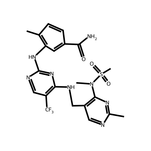 Cc1ncc(CNc2nc(Nc3cc(C(N)=O)ccc3C)ncc2C(F)(F)F)c(N(C)S(C)(=O)=O)n1